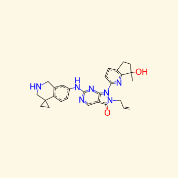 C=CCn1c(=O)c2cnc(Nc3ccc4c(c3)CNCC43CC3)nc2n1-c1ccc2c(n1)C(C)(O)CC2